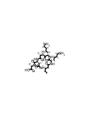 CC[C@H](C)CC(=O)N[C@@H](CCCCN)C(=O)N[C@@H](CCCCN)C(=O)N[C@@H](C)C(=O)N[C@@H](CC(N)=O)C(=O)N[C@@H](C)C(=O)O